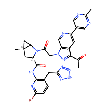 CC(=O)c1nn(CC(=O)N2C3C[C@]3(C)C[C@H]2C(=O)Nc2nc(Br)ccc2Cc2nn[nH]n2)c2cnc(-c3cnc(C)nc3)cc12